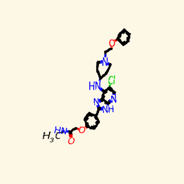 CNC(=O)COc1ccc(-c2nc3c(NC4CCN(CCOc5ccccc5)CC4)c(Cl)cnc3[nH]2)cc1